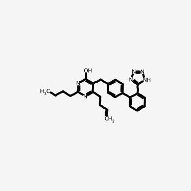 C=CCCc1nc(CCCC)nc(O)c1Cc1ccc(-c2ccccc2-c2nnn[nH]2)cc1